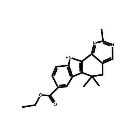 CCOC(=O)c1ccc2[nH]c3c(c2c1)C(C)(C)Cc1cnc(C)nc1-3